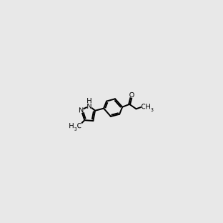 CCC(=O)c1ccc(-c2cc(C)n[nH]2)cc1